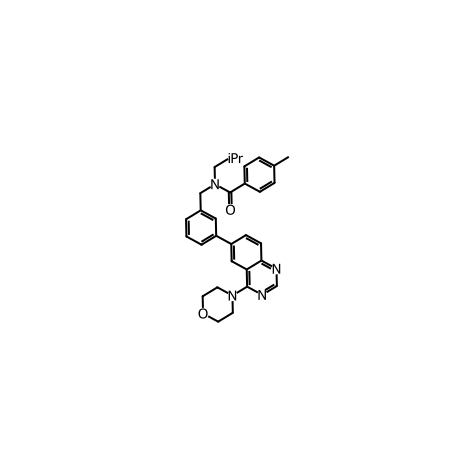 Cc1ccc(C(=O)N(Cc2cccc(-c3ccc4ncnc(N5CCOCC5)c4c3)c2)CC(C)C)cc1